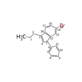 CCCC1=CC(c2ccccc2)c2cc(Br)ccc21